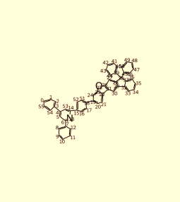 c1ccc(-c2cc(-c3ccccc3)nc(-c3ccc(-c4ccc5c(c4)oc4cc6c(cc45)-c4ccccc4C6(c4ccccc4)c4ccccc4)cc3)c2)cc1